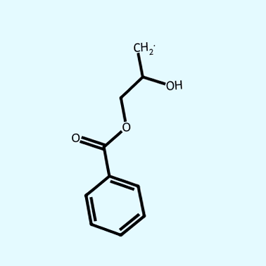 [CH2]C(O)COC(=O)c1ccccc1